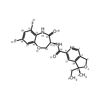 CC[C@@]1(C)OCc2cnc(C(=O)N[C@H]3COc4cc(F)cc(F)c4NC3=O)cc21